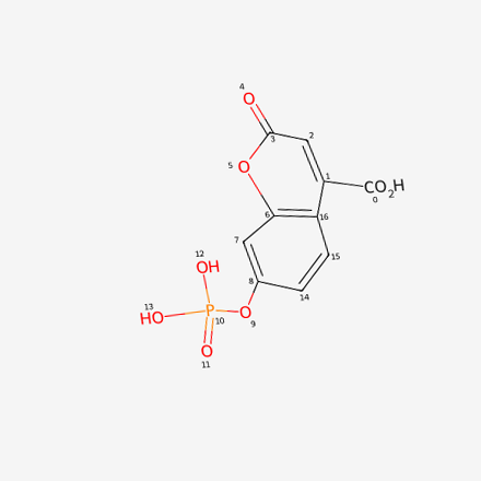 O=C(O)c1cc(=O)oc2cc(OP(=O)(O)O)ccc12